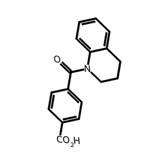 O=C(O)c1ccc(C(=O)N2CCCc3ccccc32)cc1